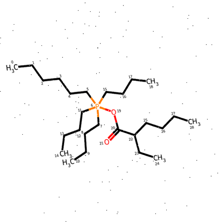 CCCCCCP(CCCC)(CCCC)(CCCC)OC(=O)C(CC)CCCC